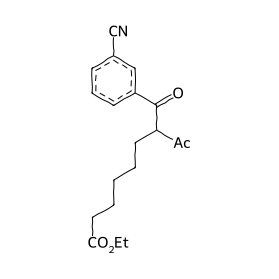 CCOC(=O)CCCCCC(C(C)=O)C(=O)c1cccc(C#N)c1